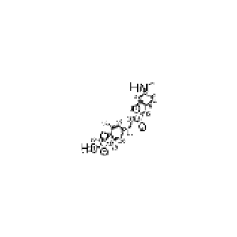 CNc1ccc2cc(C(=O)/C=C/c3cc(C)c(OC(C)(C)C(=O)O)c(C)c3)oc2c1